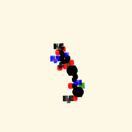 COC(=O)C1=NC=C(S(=O)(=O)c2ccc(CCNC(=O)c3cc(OC)ccc3Cl)cc2)C(=C=O)C1N